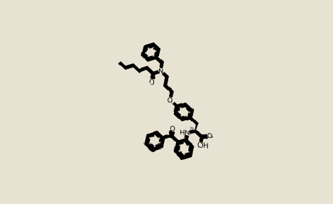 CCCCCC(=O)N(CCCOc1ccc(C[C@H](Nc2ccccc2C(=O)c2ccccc2)C(=O)O)cc1)Cc1ccccc1